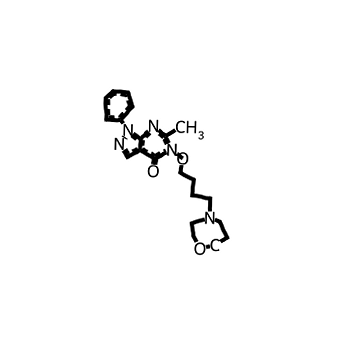 Cc1nc2c(cnn2-c2ccccc2)c(=O)n1OCCCCN1CCCOCC1